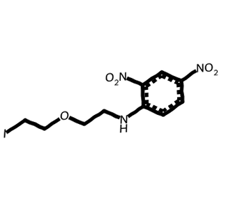 O=[N+]([O-])c1ccc(NCCOCCI)c([N+](=O)[O-])c1